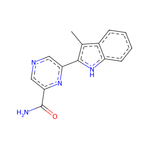 Cc1c(-c2cncc(C(N)=O)n2)[nH]c2ccccc12